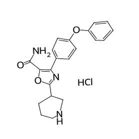 Cl.NC(=O)c1oc(C2CCCNC2)nc1-c1ccc(Oc2ccccc2)cc1